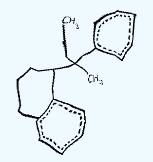 CCC(C)(c1ccccc1)C1CCCc2ccccc21